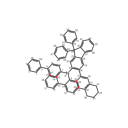 c1ccc(-c2ccc(N(c3ccccc3-c3ccccc3)c3cc4c(cc3-c3ccc5c(c3)CCCC5)-c3ccccc3C4(c3ccccc3)c3ccccc3)cc2)cc1